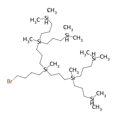 C[SiH](C)CCC[Si](C)(CCC[SiH](C)C)CCC[Si](C)(CCCCBr)CCC[Si](C)(CCC[SiH](C)C)CCC[SiH](C)C